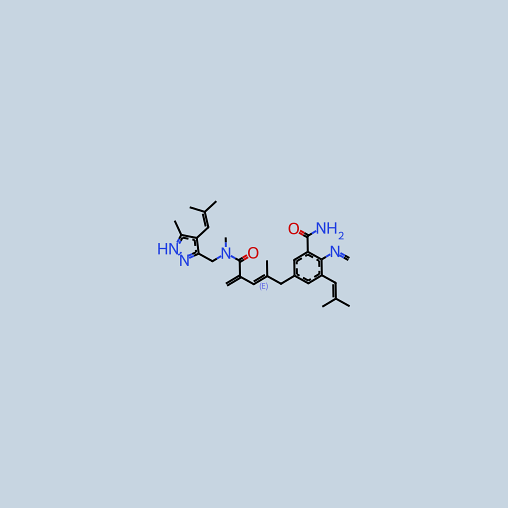 C=Nc1c(C=C(C)C)cc(C/C(C)=C/C(=C)C(=O)N(C)Cc2n[nH]c(C)c2C=C(C)C)cc1C(N)=O